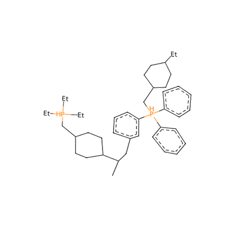 CCC1CCC(C[PH](c2ccccc2)(c2ccccc2)c2cccc(CC(C)C3CCC(C[PH](CC)(CC)CC)CC3)c2)CC1